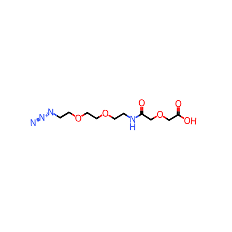 [N-]=[N+]=NCCOCCOCCNC(=O)COCC(=O)O